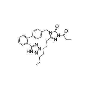 CCCCCCCc1nn(C(=O)CC)c(=O)n1Cc1ccc(-c2ccccc2-c2nnn[nH]2)cc1